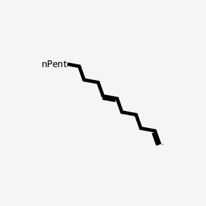 [CH]=CCCCC=CCCCCCCCC